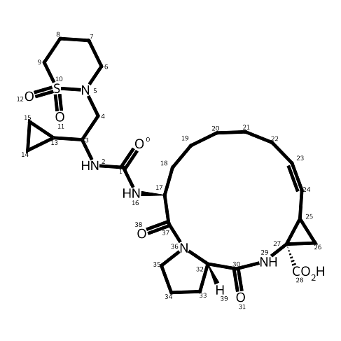 O=C(NC(CN1CCCCS1(=O)=O)C1CC1)N[C@H]1CCCCC/C=C\C2C[C@@]2(C(=O)O)NC(=O)[C@@H]2CCCN2C1=O